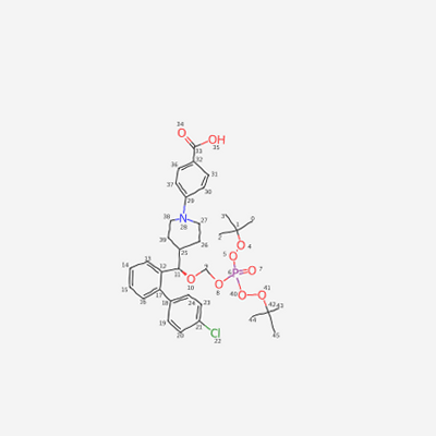 CC(C)(C)OOP(=O)(OCO[C@@H](c1ccccc1-c1ccc(Cl)cc1)C1CCN(c2ccc(C(=O)O)cc2)CC1)OOC(C)(C)C